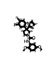 COc1ccc(OC)c(NC(=O)N2CCC(c3ccc(C)c(F)c3)(c3nccs3)C2)c1